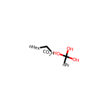 CCCC(O)(O)O.CCCCCCCC(=O)O